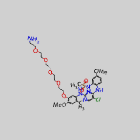 COc1ccc(Nc2nc(Nc3cc(OCCOCCOCCOCCOCCN)c(OC)cc3C)ncc2Cl)c(NS(C)(=O)=O)c1